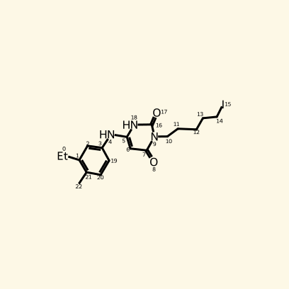 CCc1cc(Nc2cc(=O)n(CCCCCI)c(=O)[nH]2)ccc1C